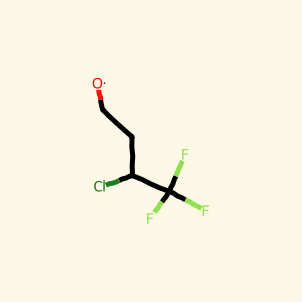 [O]CCC(Cl)C(F)(F)F